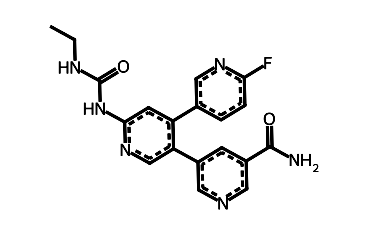 CCNC(=O)Nc1cc(-c2ccc(F)nc2)c(-c2cncc(C(N)=O)c2)cn1